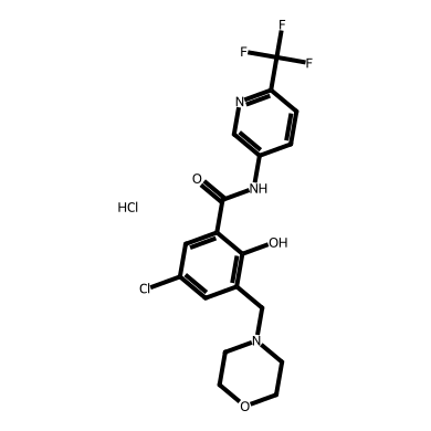 Cl.O=C(Nc1ccc(C(F)(F)F)nc1)c1cc(Cl)cc(CN2CCOCC2)c1O